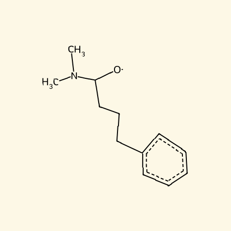 CN(C)C([O])CCCc1ccccc1